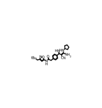 CC(C)(C)Cc1cc(NC(=O)Cc2ccc(C(=N)/C(C#N)=C(/N)NC3CCCC3)cc2)on1